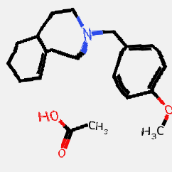 CC(=O)O.COc1ccc(CN2CCC3CCCC=C3C2)cc1